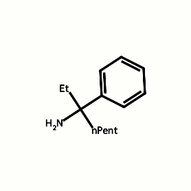 CCCCCC(N)(CC)c1ccccc1